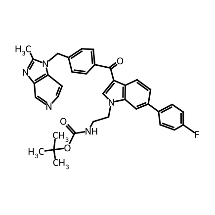 Cc1nc2cnccc2n1Cc1ccc(C(=O)c2cn(CCNC(=O)OC(C)(C)C)c3cc(-c4ccc(F)cc4)ccc23)cc1